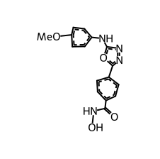 COc1ccc(Nc2nnc(-c3ccc(C(=O)NO)cc3)o2)cc1